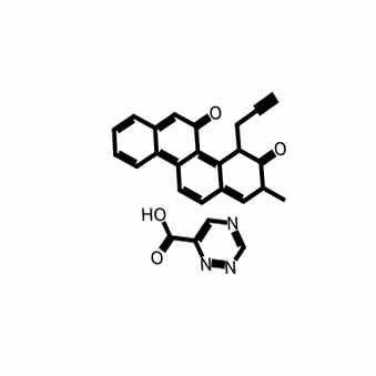 C#CCC1C(=O)C(C)C=c2ccc3c(c21)C(=O)C=c1ccccc1=3.O=C(O)c1cncnn1